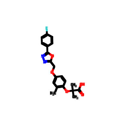 Cc1cc(OCc2nnc(-c3ccc(F)cc3)o2)ccc1OC(C)(C)C(=O)O